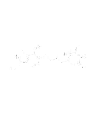 CCCc1c(OCCCC2CC(=O)NC(=O)N2)ccc2c(C(F)(F)F)noc12